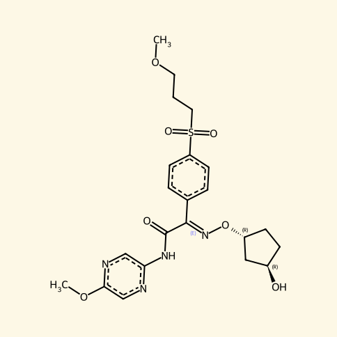 COCCCS(=O)(=O)c1ccc(/C(=N\O[C@@H]2CC[C@@H](O)C2)C(=O)Nc2cnc(OC)cn2)cc1